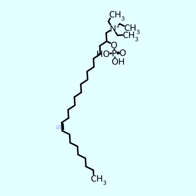 CCCCCCCC/C=C\CCCCCCCCCCCCC(C[N+](CC)(CC)CC)OP(=O)(O)O